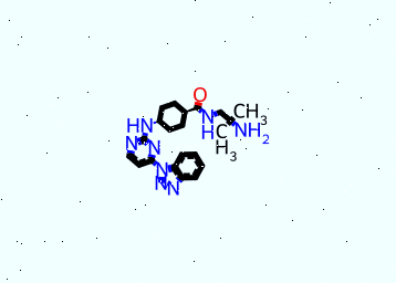 CC(C)(N)CNC(=O)[C@H]1CC[C@H](Nc2nccc(-n3nnc4ccccc43)n2)CC1